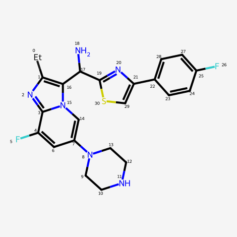 CCc1nc2c(F)cc(N3CCNCC3)cn2c1C(N)c1nc(-c2ccc(F)cc2)cs1